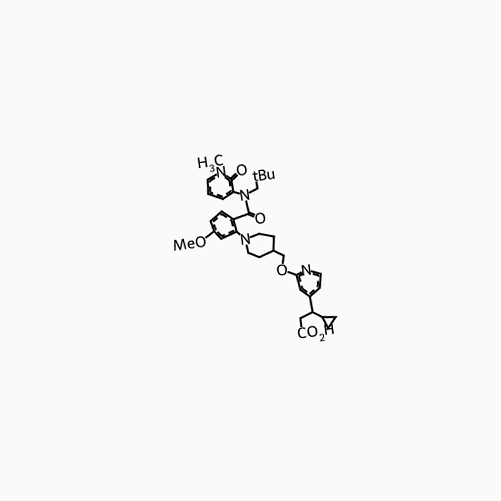 COc1ccc(C(=O)N(CC(C)(C)C)c2cccn(C)c2=O)c(N2CCC(COc3cc(C(CC(=O)O)C4CC4)ccn3)CC2)c1